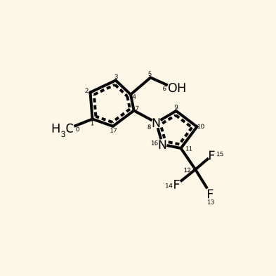 Cc1ccc(CO)c(-n2ccc(C(F)(F)F)n2)c1